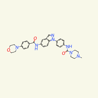 CN1CCN(C(=O)Nc2ccc(-n3ncc4cc(NC(=O)c5ccc(N6CCOCC6)cc5)ccc43)cc2)CC1